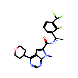 C[C@@H](NC(=O)c1cc2c(C3CCOCC3)ncnc2n1C)c1cccc(C(F)F)c1F